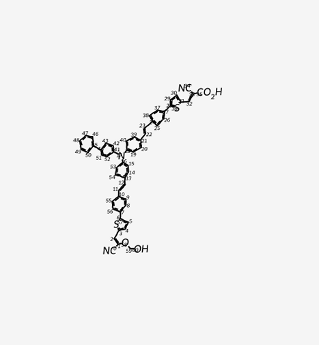 N#C/C(=C/c1ccc(-c2ccc(/C=C/c3ccc(N(c4ccc(/C=C/c5ccc(-c6ccc(/C=C(\C#N)C(=O)O)s6)cc5)cc4)c4ccc(-c5ccccc5)cc4)cc3)cc2)s1)OCO